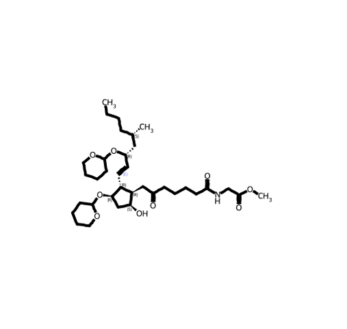 CCCC[C@H](C)C[C@H](/C=C/[C@@H]1[C@@H](CC(=O)CCCCC(=O)NCC(=O)OC)[C@@H](O)C[C@H]1OC1CCCCO1)OC1CCCCO1